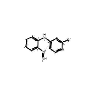 N=Nc1ccccc1Nc1cccc(Br)c1